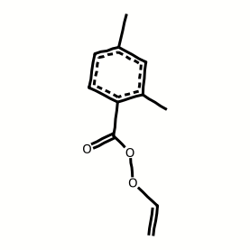 C=COOC(=O)c1ccc(C)cc1C